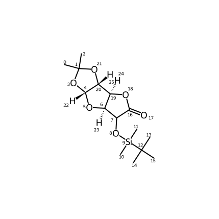 CC1(C)O[C@H]2O[C@@H]3C(O[Si](C)(C)C(C)(C)C)C(=O)O[C@@H]3[C@H]2O1